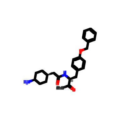 COC(=O)[C@H](Cc1ccc(OCc2ccccc2)cc1)NC(=O)C[C@H]1CC[C@H](N)CC1